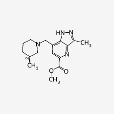 COC(=O)c1cc(CN2CCC[C@H](C)C2)c2[nH]nc(C)c2n1